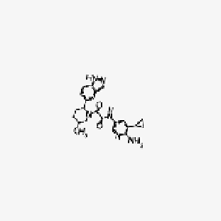 CC1CCC(c2ccc3[nH]ncc3c2)N(C(=O)C(=O)Nc2cnc(N)c(C3CC3)c2)C1